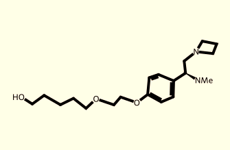 CN[C@H](CN1CCC1)c1ccc(OCCOCCCCCO)cc1